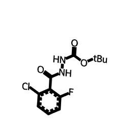 CC(C)(C)OC(=O)NNC(=O)c1c(F)cccc1Cl